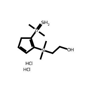 C[Si](C)(CCO)C1=[C]([Zr]([CH3])([CH3])=[SiH2])CC=C1.Cl.Cl